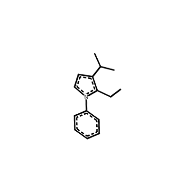 CCc1c(C(C)C)ccn1-c1ccccc1